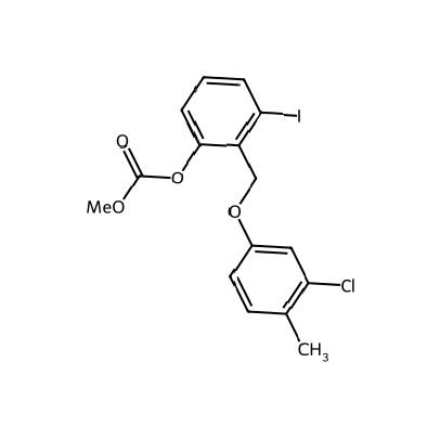 COC(=O)Oc1cccc(I)c1COc1ccc(C)c(Cl)c1